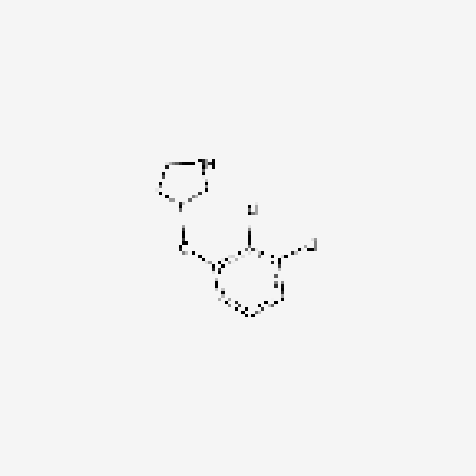 Clc1cccc(OC2CCNC2)c1Cl